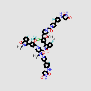 COc1cc(-c2cn(CC3CN(Cc4ccc(-c5cn(C)c(=O)c6ccc(F)cc56)cc4OC(F)(F)F)CCC3N(C)C(=O)N3CCC(c4ccc(NC5CCC(=O)NC5=O)cc4F)CC3)c(=O)c3ccc(F)cc23)cc(Cl)c1CC1CCN(CC(=O)N2CCC(c3ccc(NC4CCC(=O)NC4=O)cc3F)CC2)CC1